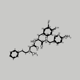 CN(CCc1ccccc1)CC(=O)N[C@@H](Cc1ccc(F)c(F)c1)C(=O)NCc1ccc(N)nc1